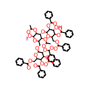 CC(=O)OC1C(COC2OC(COC(=O)c3ccccc3)C(OC(=O)c3ccccc3)C(OC(=O)c3ccccc3)C2OC(=O)c2ccccc2)OC(OI)C(OC(C)=O)C1OC1OC(COC(=O)c2ccccc2)C(OC(=O)c2ccccc2)C(O)C1OC(=O)c1ccccc1